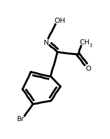 CC(=O)C(=NO)c1ccc(Br)cc1